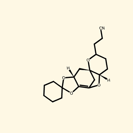 N#CCCC1CC[C@@H]2OC3=C4OC5(CCCCC5)O[C@@H]4C[C@@]2(C3)O1